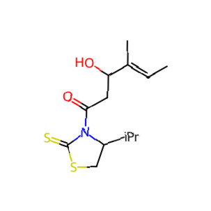 CC=C(C)C(O)CC(=O)N1C(=S)SCC1C(C)C